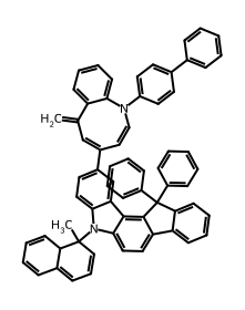 C=C1/C=C(c2ccc3c(c2)c2c4c(ccc2n3C2(C)C=CC=C3C=CC=CC32)-c2ccccc2C4(c2ccccc2)c2ccccc2)\C=C/N(c2ccc(-c3ccccc3)cc2)c2ccccc21